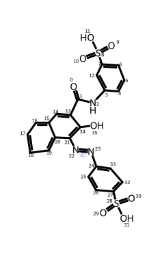 O=C(Nc1cccc(S(=O)(=O)O)c1)c1cc2ccccc2c(/N=N/c2ccc(S(=O)(=O)O)cc2)c1O